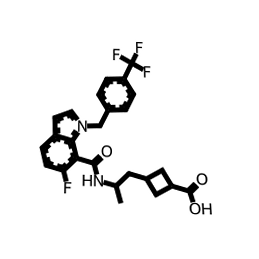 CC(CC1CC(C(=O)O)C1)NC(=O)c1c(F)ccc2ccn(Cc3ccc(C(F)(F)F)cc3)c12